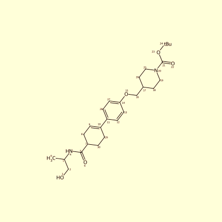 CC(CO)NC(=O)C1CC=C(c2ccc(OCC3CCN(C(=O)OC(C)(C)C)CC3)cc2)CC1